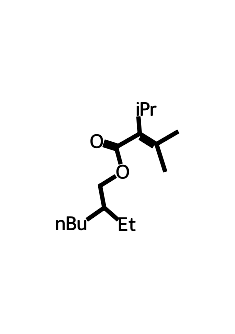 CCCCC(CC)COC(=O)C(=C(C)C)C(C)C